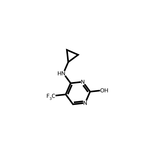 Oc1ncc(C(F)(F)F)c(NC2CC2)n1